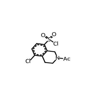 CC(=O)N1CCc2c(Cl)ccc(S(=O)(=O)Cl)c2C1